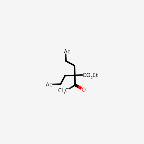 CCOC(=O)C(CCC(C)=O)(CCC(C)=O)C(=O)C(Cl)(Cl)Cl